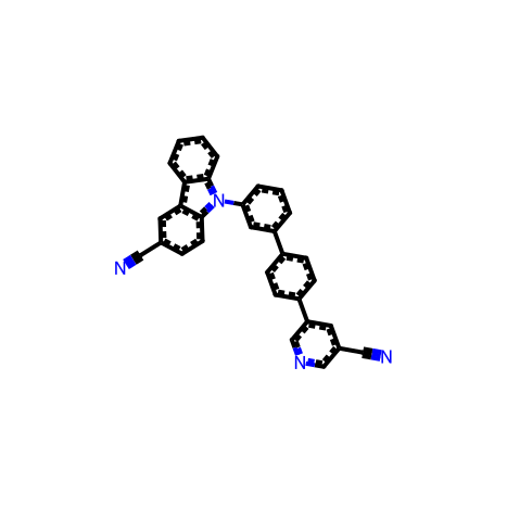 N#Cc1cncc(-c2ccc(-c3cccc(-n4c5ccccc5c5cc(C#N)ccc54)c3)cc2)c1